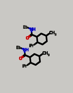 CCNC(=O)C1CC(C)CCC1C(C)C.CCNC(=O)C1CC(C)CCC1C(C)C